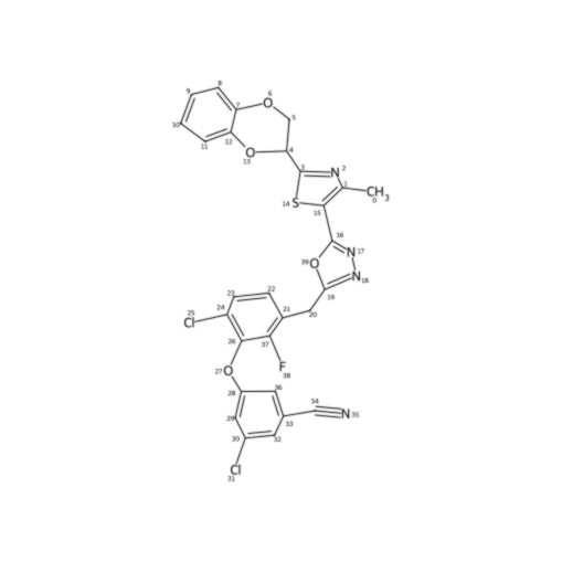 Cc1nc(C2COc3ccccc3O2)sc1-c1nnc(Cc2ccc(Cl)c(Oc3cc(Cl)cc(C#N)c3)c2F)o1